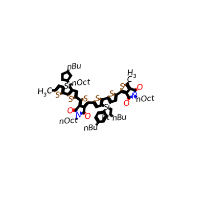 CCCCCCCCN1C(=O)c2c(C)sc(-c3cc4c(s3)-c3sc(-c5sc(-c6cc7c(s6)-c6sc(C)cc6[Si]7(CCCCCCCC)C6CCC(CCCC)C6)c6c5C(=O)N(CCCCCCCC)C6=O)cc3[Si]4(CC(CC)CCCC)c3ccc(CCCC)cc3)c2C1=O